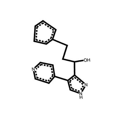 OC(CCc1ccccc1)c1n[nH]cc1-c1ccncc1